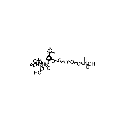 Cc1ncsc1-c1ccc(CNC(=O)[C@@H]2C[C@@H](O)CN2C(=O)C(NC(=O)C2(F)CC2)C(C)(C)C)c(OCCOCCOCCOCCOCCNC(=O)O)c1